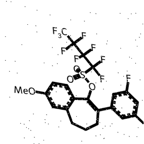 COc1ccc2c(c1)CCCC(c1cc(F)cc(F)c1)=C2OS(=O)(=O)C(F)(F)C(F)(F)C(F)(F)C(F)(F)F